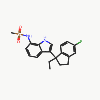 CCC1(c2c[nH]c3c(NS(C)(=O)=O)cccc23)CCc2cc(F)ccc21